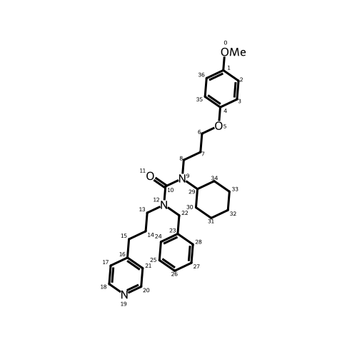 COc1ccc(OCCCN(C(=O)N(CCCc2ccncc2)Cc2ccccc2)C2CCCCC2)cc1